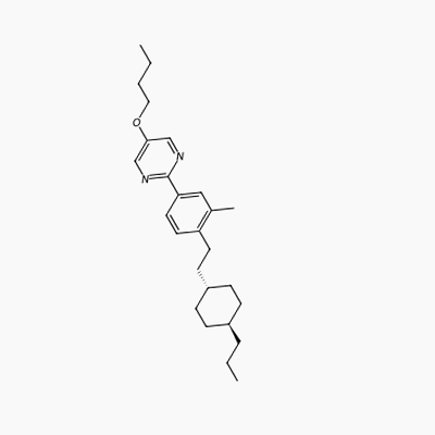 CCCCOc1cnc(-c2ccc(CC[C@H]3CC[C@H](CCC)CC3)c(C)c2)nc1